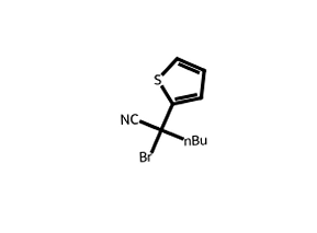 CCCCC(Br)(C#N)c1cccs1